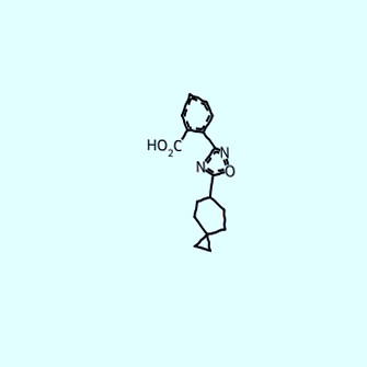 O=C(O)c1ccccc1-c1noc(C2CCC3(CC2)CC3)n1